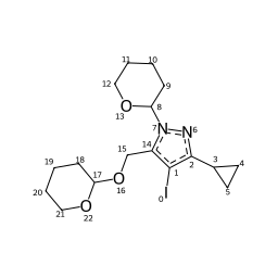 Ic1c(C2CC2)nn(C2CCCCO2)c1COC1CCCCO1